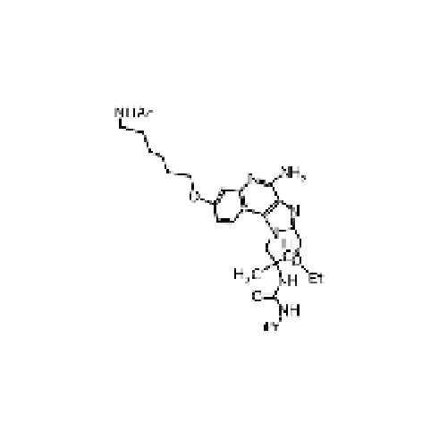 CCOCc1nc2c(N)nc3cc(OCCCCCCNC(C)=O)ccc3c2n1CC(C)(C)NC(=O)NC(C)C